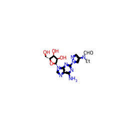 CCN(C=O)c1cnn(-c2nc(N)c3ncn([C@@H]4O[C@H](CO)[C@@H](O)[C@H]4O)c3n2)c1